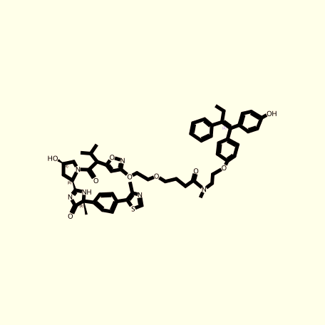 CC/C(=C(\c1ccc(O)cc1)c1ccc(OCCN(C)C(=O)CCCOCCOc2cc(C(C(=O)N3C[C@H](O)C[C@@H]3C3=NC(=O)[C@@](C)(c4ccc(-c5scnc5C)cc4)N3)C(C)C)on2)cc1)c1ccccc1